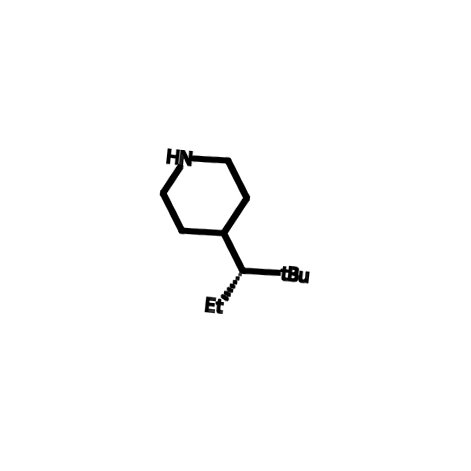 CC[C@H](C1CCNCC1)C(C)(C)C